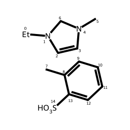 CCN1C=CN(C)C1.Cc1ccccc1S(=O)(=O)O